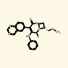 COC[C@H]1CCN1C(F)C(Nc1ccccc1)=C(C(N)=O)c1ccc2ncncc2c1